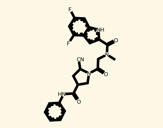 CN(CC(=O)N1CC(C(=O)Nc2ccccc2)CC1C#N)C(=O)c1cc2c(F)cc(F)cc2[nH]1